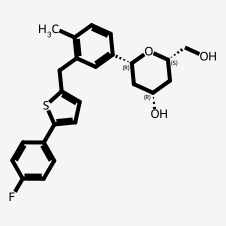 Cc1ccc([C@H]2C[C@@H](O)C[C@@H](CO)O2)cc1Cc1ccc(-c2ccc(F)cc2)s1